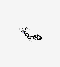 CCO/C(=C\c1ccc2c(ccn2Cc2nc(-c3ccccc3Cl)oc2C)c1)C(=O)O